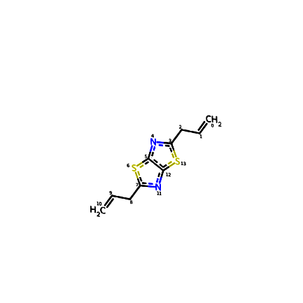 C=CCc1nc2sc(CC=C)nc2s1